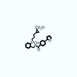 CN(Cc1ccccc1OCCCC1CC1C(=O)O)C(=O)c1ccc(-c2ccco2)cc1